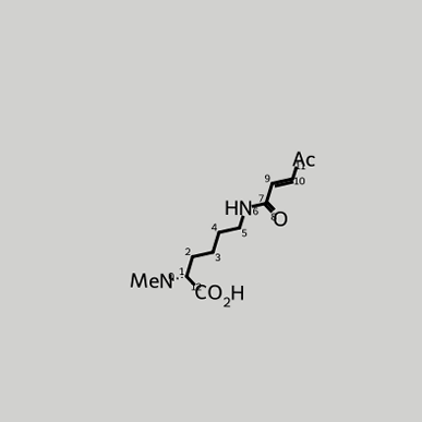 CN[C@H](CCCCNC(=O)/C=C/C(C)=O)C(=O)O